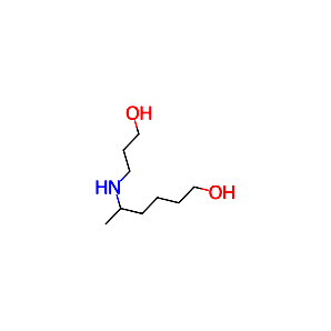 CC(CCCCO)NCCCO